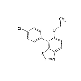 CCOc1ccc2n[c]sc2c1-c1ccc(Cl)cc1